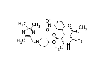 COC(=O)C1=C(C)NC(C)=C(C(=O)OC2CCN(Cc3nc(C)c(C)nc3C)CC2)C1c1cccc([N+](=O)[O-])c1